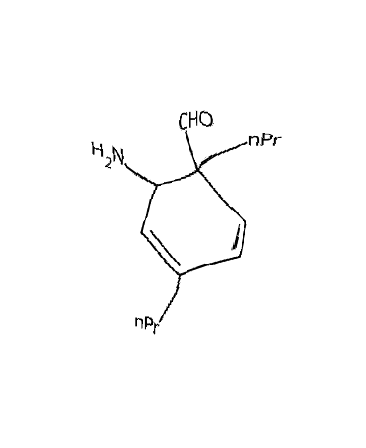 CCCC1=CC(N)C(C=O)(CCC)C=C1